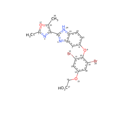 Cc1nc(-c2nc3cc(Oc4c(Br)cc(OCC(=O)O)cc4Br)ccc3[nH]2)c(C)o1